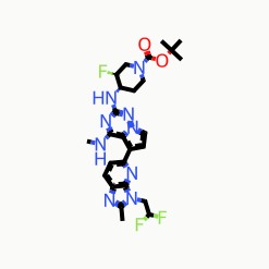 CNc1nc(N[C@@H]2CCN(C(=O)OC(C)(C)C)C[C@@H]2F)nn2ccc(-c3ccc4nc(C)n(CC(F)F)c4n3)c12